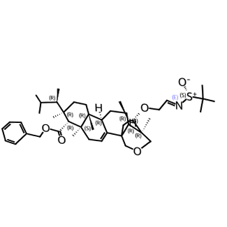 CC(C)[C@@H](C)[C@@]1(C)CC[C@]2(C)[C@H]3CC[C@@H]4C5(COC[C@]4(C)[C@@H](OC/C=N/[S@+]([O-])C(C)(C)C)[C@H](C)C5)C3=CC[C@@]2(C)[C@@H]1C(=O)OCc1ccccc1